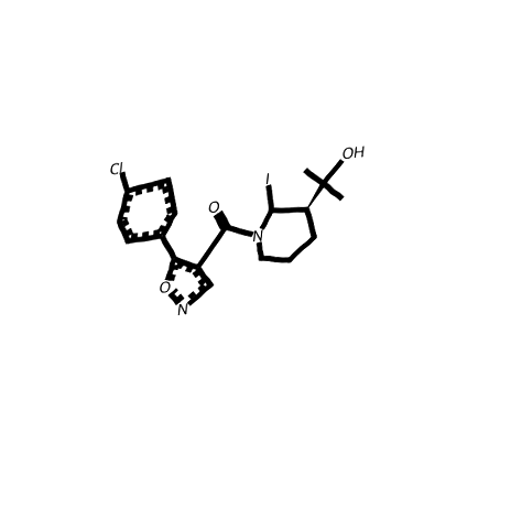 CC(C)(O)[C@H]1CCCN(C(=O)c2cnoc2-c2ccc(Cl)cc2)C1I